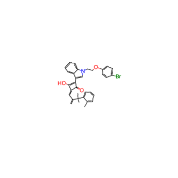 C=C(/C=C1\C(=O)C(c2cn(CCOc3ccc(Br)cc3)c3ccccc23)=C1O)C(C)(C)c1ccccc1C